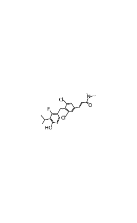 CC(C)c1c(O)ccc(Cc2c(Cl)cc(/C=C/C(=O)N(C)C)cc2Cl)c1F